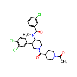 CC(=O)N1CCC(C(=O)N2CCC(N(C)C(=O)c3cccc(Cl)c3)C(c3ccc(Cl)c(Cl)c3)C2)CC1